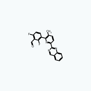 Cc1ccc(-c2ncc3ccccc3n2)nc1-c1ccc(F)c(C=O)c1F